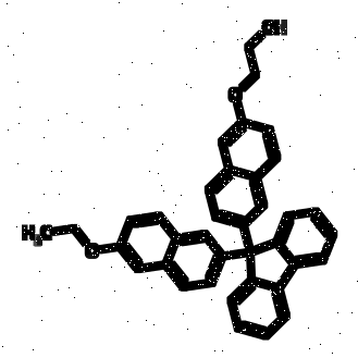 CCOc1ccc2cc(C3(c4ccc5cc(OCCO)ccc5c4)c4ccccc4-c4ccccc43)ccc2c1